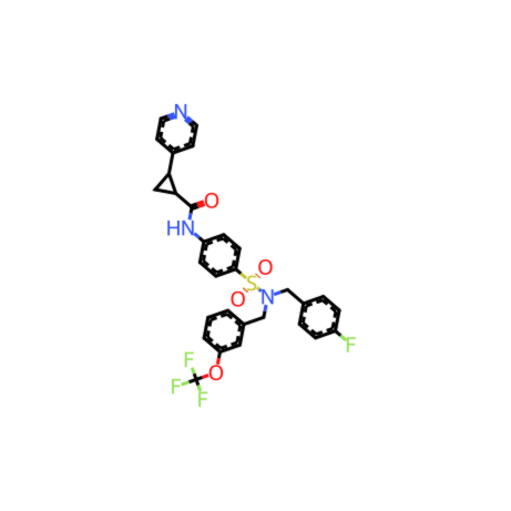 O=C(Nc1ccc(S(=O)(=O)N(Cc2ccc(F)cc2)Cc2cccc(OC(F)(F)F)c2)cc1)C1CC1c1ccncc1